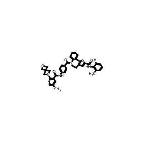 Cc1cnc(N2CC3(COC3)C2)c(C(=O)Nc2ccc(C(=O)N3CCc4cc(C(=O)Nc5c(C)cccc5F)sc4-c4ccccc43)cc2)c1